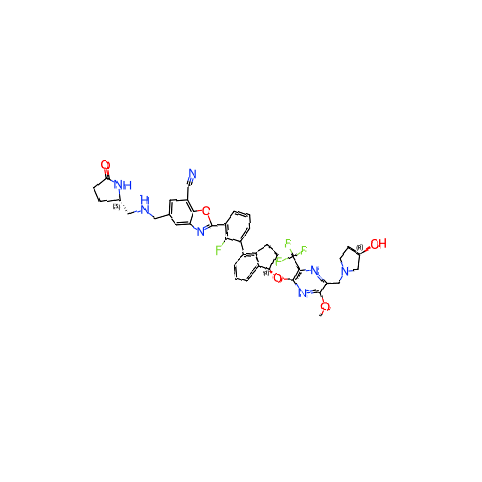 COc1nc(O[C@@H]2CCc3c(-c4cccc(-c5nc6cc(CNC[C@@H]7CCC(=O)N7)cc(C#N)c6o5)c4F)cccc32)c(C(F)(F)F)nc1CN1CC[C@@H](O)C1